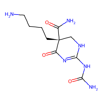 NCCCC[C@@]1(C(N)=O)CNC(NC(N)=O)=NC1=O